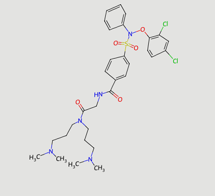 CN(C)CCCN(CCCN(C)C)C(=O)CNC(=O)c1ccc(S(=O)(=O)N(Oc2ccc(Cl)cc2Cl)c2ccccc2)cc1